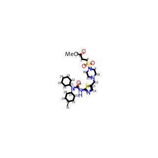 COC(=O)CCS(=O)(=O)N1CCN(Cc2cnc(NC(=O)N(C3CCCCC3)[C@H]3CC[C@H](C)CC3)s2)CC1